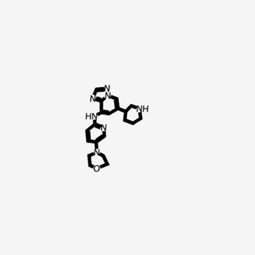 c1nc2c(Nc3ccc(N4CCOCC4)cn3)cc(C3CCCNC3)cn2n1